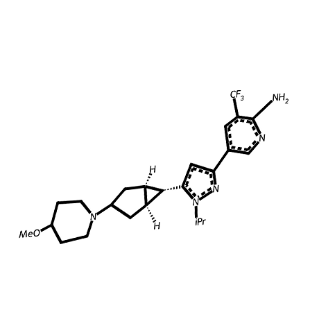 COC1CCN(C2C[C@@H]3[C@H](C2)[C@H]3c2cc(-c3cnc(N)c(C(F)(F)F)c3)nn2C(C)C)CC1